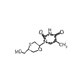 Cc1cn(C2CSC(CO)CO2)c(=O)[nH]c1=O